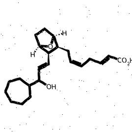 O=C(O)/C=C/C/C=C\C[C@H]1[C@@H](/C=C/C(O)C2CCCCCC2)[C@H]2CC[C@@H]1O2